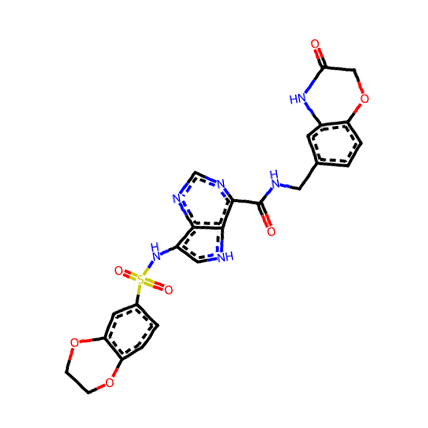 O=C1COc2ccc(CNC(=O)c3ncnc4c(NS(=O)(=O)c5ccc6c(c5)OCCO6)c[nH]c34)cc2N1